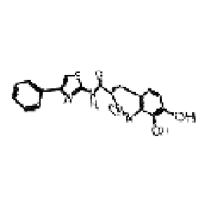 N#CC(Cc1ccc(O)c(O)c1Br)C(=O)Nc1nc(-c2ccccc2)cs1